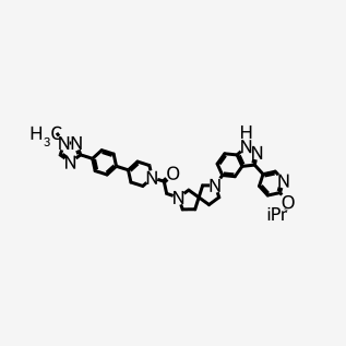 CC(C)Oc1ccc(-c2n[nH]c3ccc(N4CCC5(CCN(CC(=O)N6CC=C(c7ccc(-c8ncn(C)n8)cc7)CC6)C5)C4)cc23)cn1